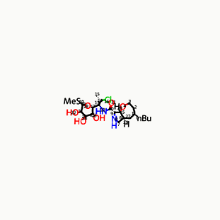 CCCC[C@@H]1CCO[C@@H]2[C@H](CN[C@@H]2C(=O)N[C@H]([C@H](C)Cl)[C@H]2OC(SC)[C@H](O)[C@H](O)C2O)C1